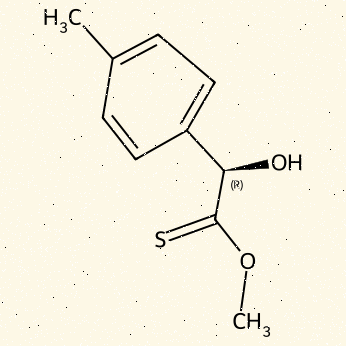 COC(=S)[C@H](O)c1ccc(C)cc1